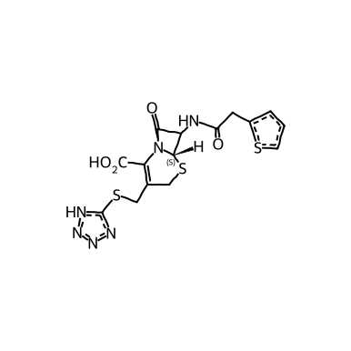 O=C(Cc1cccs1)NC1C(=O)N2C(C(=O)O)=C(CSc3nnn[nH]3)CS[C@@H]12